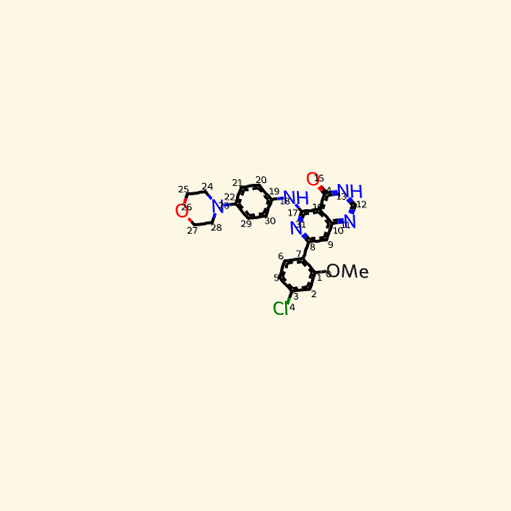 COc1cc(Cl)ccc1-c1cc2nc[nH]c(=O)c2c(Nc2ccc(N3CCOCC3)cc2)n1